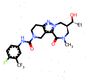 CC[C@@H](O)[C@H]1CN(C)C(=O)c2c3c(nn2C1)CCN(C(=O)Nc1ccc(F)c(C(F)(F)F)c1)C3